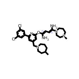 CC1CCCN(Cc2cc(O/C(N)=C/C=C(\N)N3CCCN(C)CC3)nc(-c3cc(Cl)cc(Cl)c3)c2)CC1